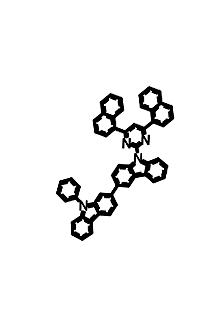 c1ccc(-n2c3ccccc3c3ccc(-c4ccc5c(c4)c4ccccc4n5-c4nc(-c5cccc6ccccc56)cc(-c5cccc6ccccc56)n4)cc32)cc1